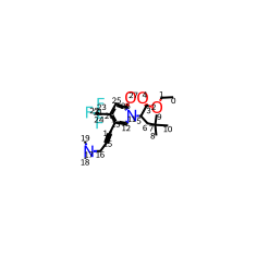 CCOC(=O)C(CC(C)(C)C)n1cc(C#CCN(C)C)c(C(F)(F)F)cc1=O